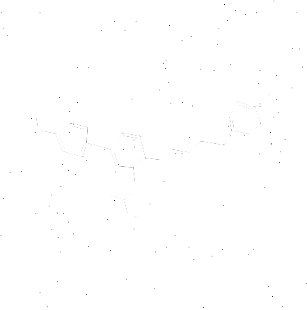 CCCCC(Oc1cc(-c2ccc(OC(F)(F)F)cc2)ccc1OCCCCc1ccc(F)cc1)C(=O)OCC